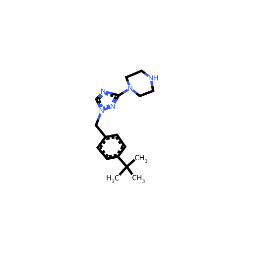 CC(C)(C)c1ccc(Cn2cnc(N3CCNCC3)n2)cc1